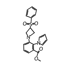 COC(=O)c1cccc(N2CC(S(=O)(=O)c3ccccc3)C2)c1-n1cccc1